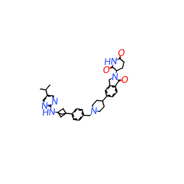 CC(C)c1cnc(NC23CC(c4ccc(CN5CCC(c6ccc7c(c6)CN(C6CCC(=O)NC6=O)C7=O)CC5)cc4)(C2)C3)nc1